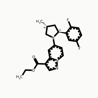 CCOC(=O)c1cnn2ccc(N3C[C@H](C)C[C@H]3c3cc(F)ccc3F)cc12